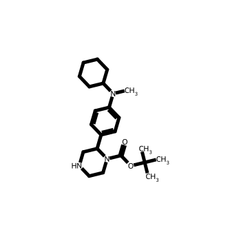 CN(c1ccc(C2CNCCN2C(=O)OC(C)(C)C)cc1)C1CCCCC1